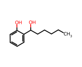 CCCCCC(O)c1ccccc1O